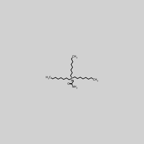 CCCCCCCC[PH](CCCCCCCC)(CCCCCCCC)CC(N)=O